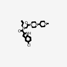 C=CCN(CC(=O)N1CCN(C2CCN(C)CC2)CC1)C(=O)c1cc2cc(Cl)ccc2[nH]1